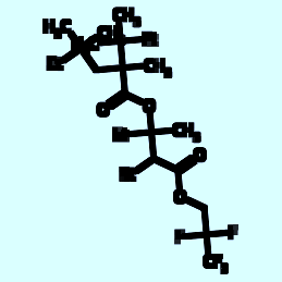 CCC(C(=O)OCC(F)(F)C(F)(F)F)C(C)(CC)OC(=O)C(C)(CC(C)(C)CC)C(C)(C)CC